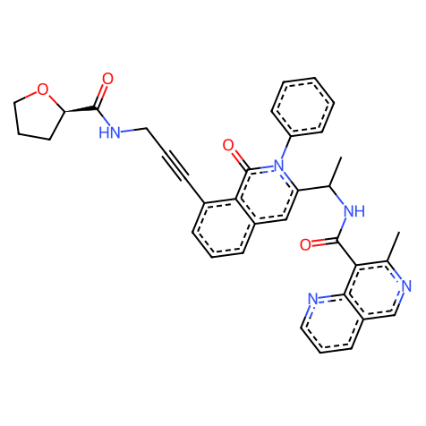 Cc1ncc2cccnc2c1C(=O)NC(C)c1cc2cccc(C#CCNC(=O)[C@H]3CCCO3)c2c(=O)n1-c1ccccc1